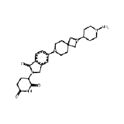 NN1CCC(N2CC3(CCN(c4ccc5c(c4)CN(C4CCC(=O)NC4=O)C5=O)CC3)C2)CC1